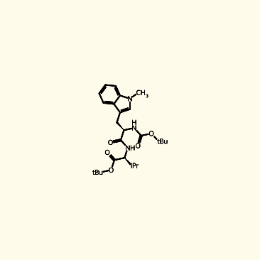 CC(C)[C@H](NC(=O)[C@@H](Cc1cn(C)c2ccccc12)NC(=O)OC(C)(C)C)C(=O)OC(C)(C)C